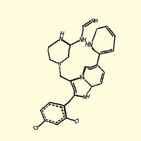 N=CNC1CN(CC2=C(c3ccc(Cl)cc3Cl)NC3C=CC(C4=CC=CCN4)=CN23)CCN1